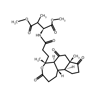 COC(=O)C(C)[C@H](NC(=O)CC[C@@]1(C)OC(=O)CC[C@@H]2[C@@H]1C(=O)C[C@]1(C)C(=O)CC[C@@H]21)C(=O)OC